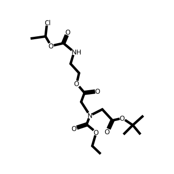 CCOC(=O)N(CC(=O)OCCNC(=O)OC(C)Cl)CC(=O)OC(C)(C)C